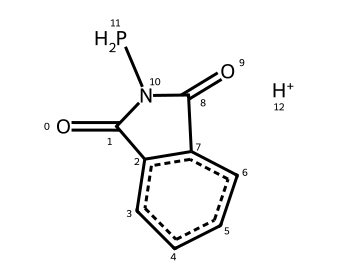 O=C1c2ccccc2C(=O)N1P.[H+]